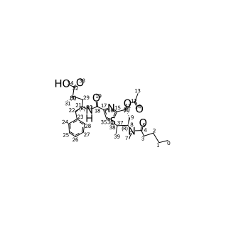 CCCCC(=O)N(C)[C@H](C[C@@H](OC(C)=O)c1nc(C(=O)N[C@@H](Cc2ccccc2)C[C@H](C)C(=O)O)cs1)C(C)C